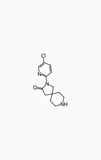 O=C1CC2(CCNCC2)CN1c1ccc(Cl)cn1